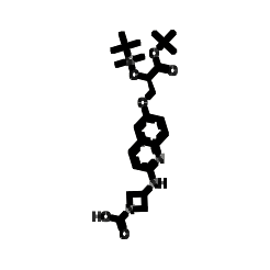 CC(C)(C)OC(=O)[C@@H](COc1ccc2nc(NC3CN(C(=O)O)C3)ccc2c1)O[Si](C)(C)C(C)(C)C